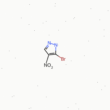 O=[N+]([O-])C1=C(Br)[N]N=C1